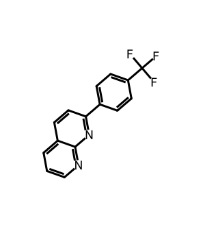 FC(F)(F)c1ccc(-c2ccc3cccnc3n2)cc1